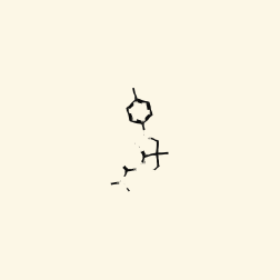 Cc1ccc(N2CC(C)(CO)C(OC(=O)N(C)C)=N2)cc1